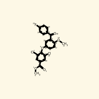 COC(=O)c1cc(Cl)c(Oc2ccc(OC)c(C(=O)c3ccc(F)cc3)c2)c(Cl)c1